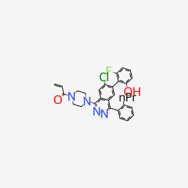 C=CC(=O)N1CCN(c2nnc(-c3ccccc3CCC)c3cc(-c4c(O)cccc4F)c(Cl)cc23)CC1